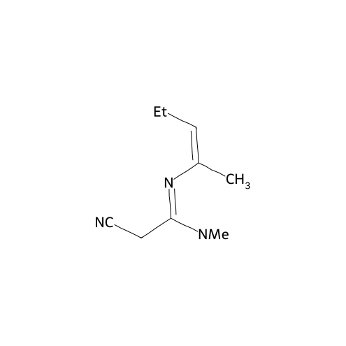 CC/C=C(C)\N=C(\CC#N)NC